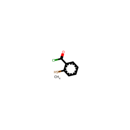 C.O=C(Cl)c1ccccc1S